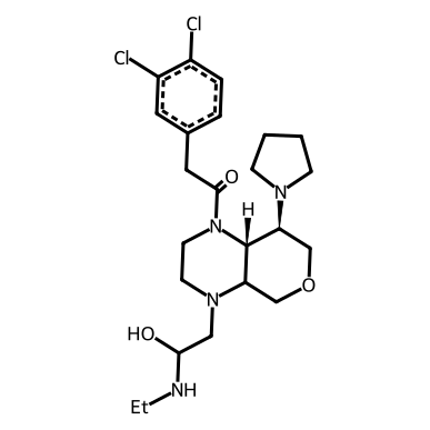 CCNC(O)CN1CCN(C(=O)Cc2ccc(Cl)c(Cl)c2)[C@H]2C1COC[C@@H]2N1CCCC1